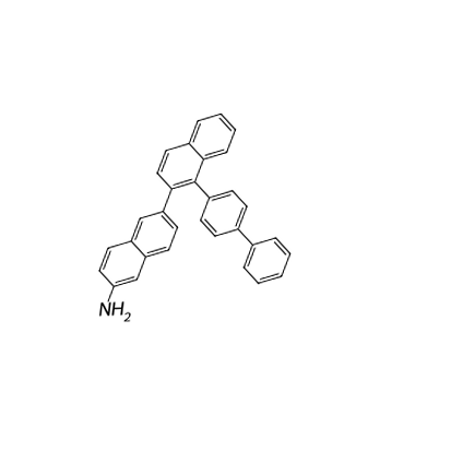 Nc1ccc2cc(-c3ccc4ccccc4c3-c3ccc(-c4ccccc4)cc3)ccc2c1